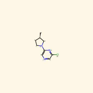 C[C@@H]1CCN(c2cncc(Cl)n2)C1